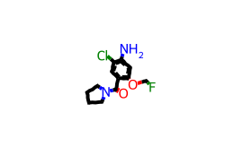 Nc1cc(OCF)c(C(=O)N2CCCC2)cc1Cl